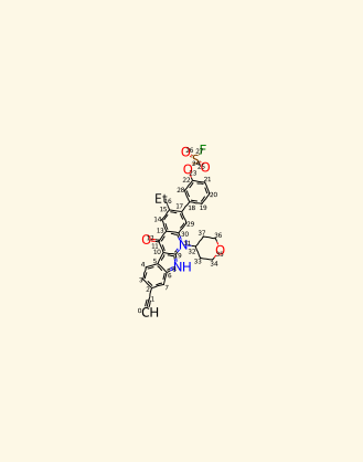 C#Cc1ccc2c(c1)[nH]c1c2c(=O)c2cc(CC)c(-c3cccc(OS(=O)(=O)F)c3)cc2n1C1CCOCC1